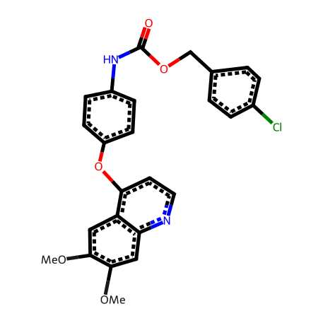 COc1cc2nccc(Oc3ccc(NC(=O)OCc4ccc(Cl)cc4)cc3)c2cc1OC